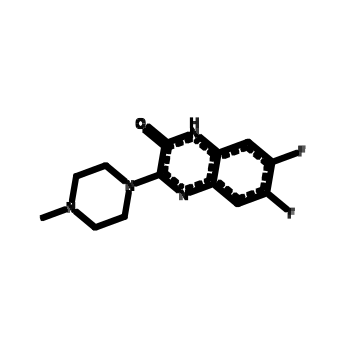 CN1CCN(c2nc3cc(F)c(F)cc3[nH]c2=O)CC1